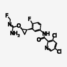 N/C(=N/CF)O[C@@H]1C[C@@H]1c1cc(NC(=O)c2ncc(Cl)cc2Cl)ccc1F